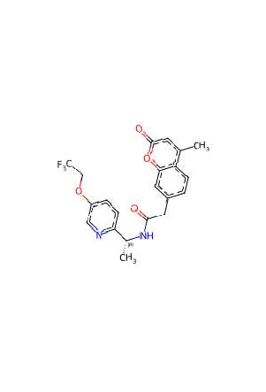 Cc1cc(=O)oc2cc(CC(=O)N[C@H](C)c3ccc(OCC(F)(F)F)cn3)ccc12